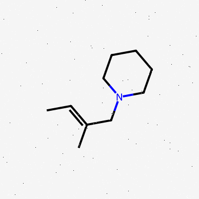 CC=C(C)CN1CCCCC1